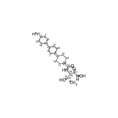 CCCc1ccc(-c2ccc(C3CCN(C(=O)N[C@@H](C(=O)NO)[C@H](C)O)CC3)cc2)cc1